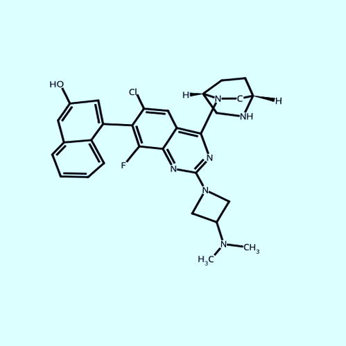 CN(C)C1CN(c2nc(N3C[C@@H]4CC[C@H]3CN4)c3cc(Cl)c(-c4cc(O)cc5ccccc45)c(F)c3n2)C1